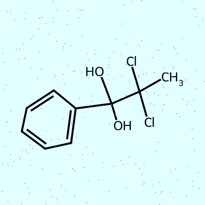 CC(Cl)(Cl)C(O)(O)c1ccccc1